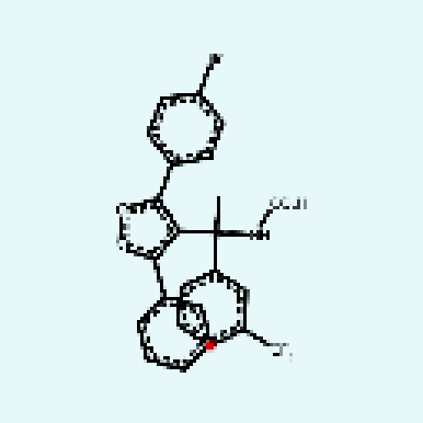 [CH2]C(NC(=O)O)(c1cccc(C(F)(F)F)c1)c1c(-c2ccccc2)noc1-c1ccc(Br)cc1